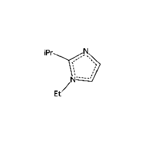 [CH2]Cn1ccnc1C(C)C